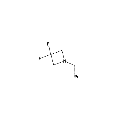 CC(C)CN1CC(F)(F)C1